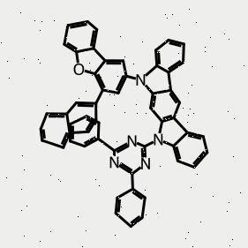 c1ccc(-c2nc(-c3ccccc3)nc(-n3c4ccccc4c4cc5c6ccccc6n(-c6cc(-c7ccc8ccccc8c7)c7oc8ccccc8c7c6)c5cc43)n2)cc1